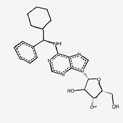 OC[C@H]1O[C@@H](n2cnc3c(NC(c4ccccc4)C4CCCCC4)ncnc32)C(O)[C@H]1O